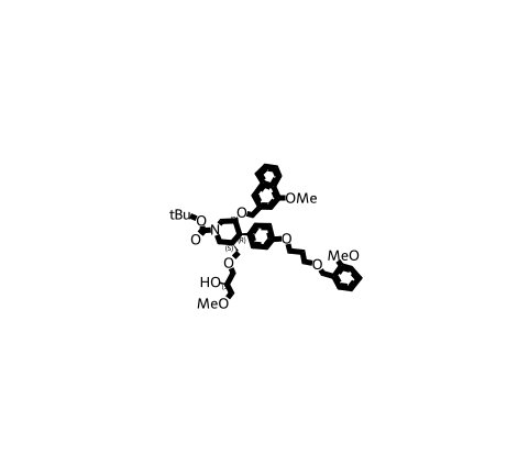 COC[C@H](O)COC[C@@H]1CN(C(=O)OC(C)(C)C)C[C@H](OCc2cc(OC)c3ccccc3c2)[C@H]1c1ccc(OCCCOCc2ccccc2OC)cc1